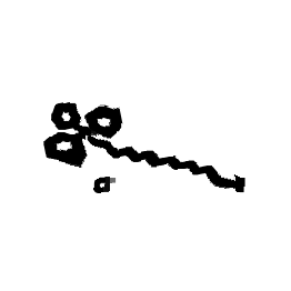 ICCCCCCCCCCC=CC[P+](c1ccccc1)(c1ccccc1)c1ccccc1.[Cl-]